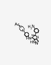 CC(=O)N1CCN(c2ccc(Nc3nc(-c4cccc(N)c4)nc4cn[nH]c34)cc2)CC1